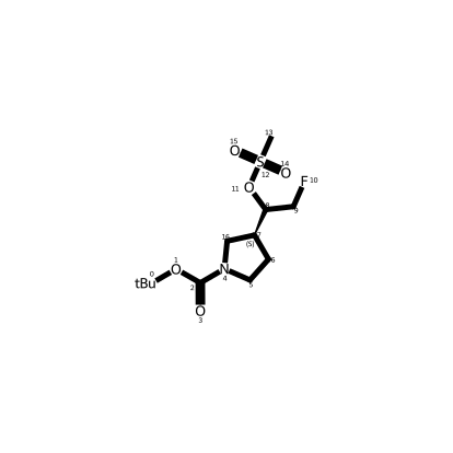 CC(C)(C)OC(=O)N1CC[C@H](C(CF)OS(C)(=O)=O)C1